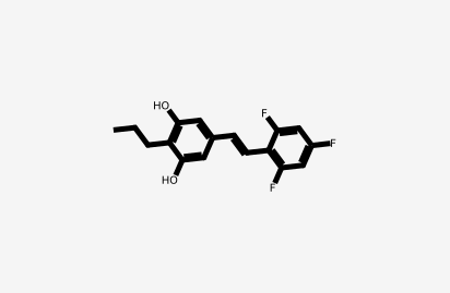 CCCc1c(O)cc(C=Cc2c(F)cc(F)cc2F)cc1O